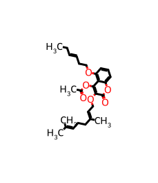 CCC=CCCOc1cccc2oc(=O)c(OC/C=C(\C)CCC=C(C)C)c(OC(C)=O)c12